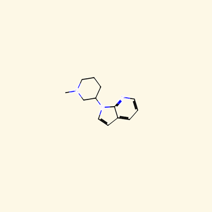 CN1CCCC(n2ccc3cccnc32)C1